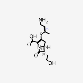 C/C(=C/CN)SC1=C(C(=O)O)N2C(=O)[C@@H](CCO)[C@H]2C1